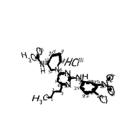 CCCCc1cc(N2CCC[C@@H](NC(C)=O)C2)nc(Nc2ccc(Cl)c([N+](=O)[O-])c2)n1.Cl